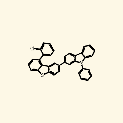 Clc1ccccc1-c1cccc2sc3ccc(-c4ccc5c6ccccc6n(-c6ccccc6)c5c4)cc3c12